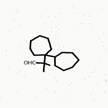 CC(C)(C=O)C1(C2CCCCCC2)CCCCCC1